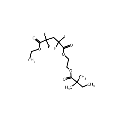 CCOC(=O)C(F)(F)CC(F)(F)C(=O)OCCOC(=O)C(C)(C)CC